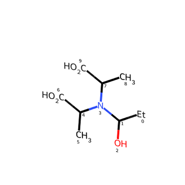 CCC(O)N(C(C)C(=O)O)C(C)C(=O)O